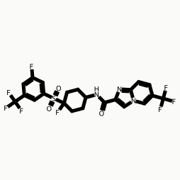 O=C(NC1CCC(F)(S(=O)(=O)c2cc(F)cc(C(F)(F)F)c2)CC1)c1cn2cc(C(F)(F)F)ccc2n1